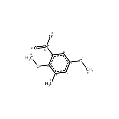 COc1cc(C)c(OC)c([N+](=O)[O-])c1